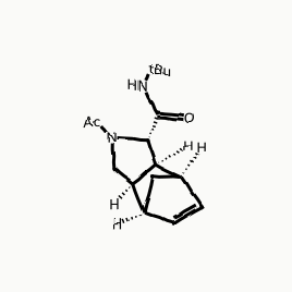 CC(=O)N1C[C@H]2[C@@H]([C@H]1C(=O)NC(C)(C)C)[C@H]1C=C[C@@H]2C1